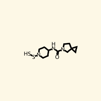 O=C(NC1CCN(SS)CC1)N1CCC2(CC2)C1